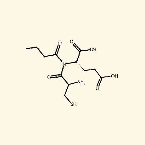 CCCC(=O)N(C(=O)C(N)CS)[C@@H](CCC(=O)O)C(=O)O